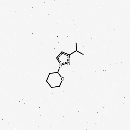 CC(C)c1ccn(C2CCCCO2)n1